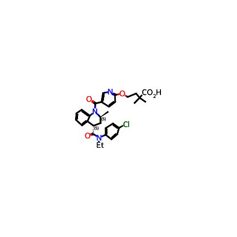 CCN(C(=O)[C@H]1C[C@H](C)N(C(=O)c2ccc(OCCC(C)(C)C(=O)O)nc2)c2ccccc21)c1ccc(Cl)cc1